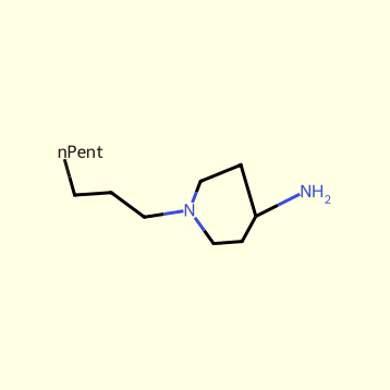 CCCCCCCCN1CCC(N)CC1